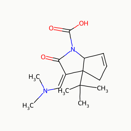 CN(C)C=C1C(=O)N(C(=O)O)C2C=CCC12C(C)(C)C